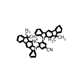 CC1(C)c2ccccc2-c2cc3c4ccccc4n(-c4cc(C#N)cc(-n5c6ccccc6c6cc7c(cc65)C(C)(C)c5ccccc5-7)c4C#N)c3cc21